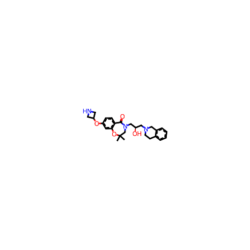 CC1(C)CN(C[C@H](O)CN2CCc3ccccc3C2)C(=O)c2ccc(OC3CNC3)cc2O1